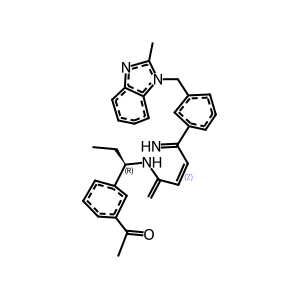 C=C(/C=C\C(=N)c1cccc(Cn2c(C)nc3ccccc32)c1)N[C@H](CC)c1cccc(C(C)=O)c1